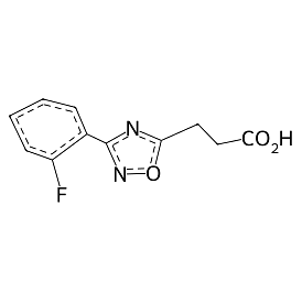 O=C(O)CCc1nc(-c2ccccc2F)no1